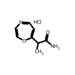 CC(C(N)=O)C1=CC=NC=CO1.Cl